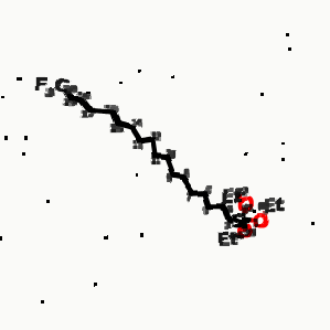 CCO[Si](CCCCCCCCCCCCCCCCCC(F)(F)F)(OCC)OCC